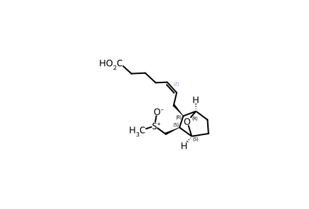 C[S+]([O-])C[C@H]1[C@@H](C/C=C\CCCC(=O)O)[C@H]2CC[C@@H]1O2